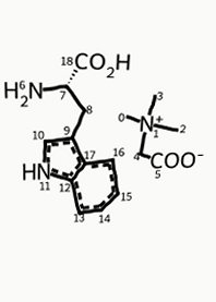 C[N+](C)(C)CC(=O)[O-].N[C@@H](Cc1c[nH]c2ccccc12)C(=O)O